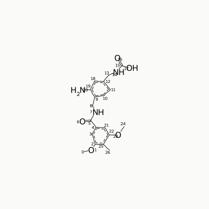 COc1cc(C(=O)NCc2ccc(CNC(=O)O)cc2N)cc(OC)c1C